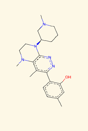 Cc1ccc(-c2nnc3c(c2C)N(C)CCN3[C@@H]2CCCN(C)C2)c(O)c1